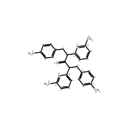 Cc1ccc(CC(C(=O)C(Cc2ccc(C)cc2)c2cccc(C)n2)c2cccc(C)n2)cc1